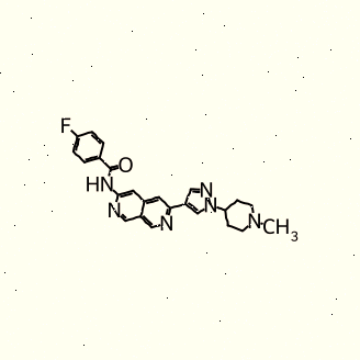 CN1CCC(n2cc(-c3cc4cc(NC(=O)c5ccc(F)cc5)ncc4cn3)cn2)CC1